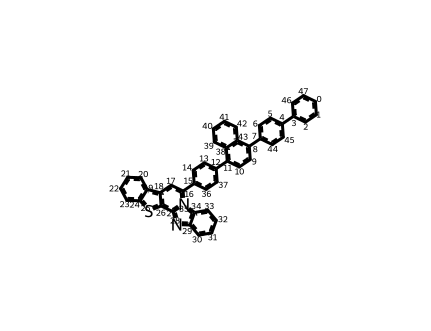 c1ccc(-c2ccc(-c3ccc(-c4ccc(-c5cc6c7ccccc7sc6c6nc7ccccc7n56)cc4)c4ccccc34)cc2)cc1